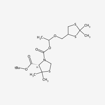 CC(OCC1CSC(C)(C)S1)OC(=O)N1CSC(C)(C)[C@@H]1C(=O)OC(C)(C)C